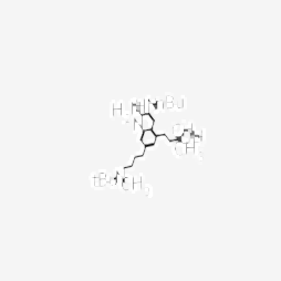 CCCCNc1cc2c(CCC(C)(C)O)cc(CCCCN(C)C(C)(C)C)cc2nc1N